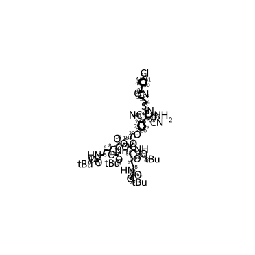 CC(C)(C)OC(=O)NCCCC[C@H](NC(=O)OC(C)(C)C)C(=O)OC[C@H](COc1ccc(-c2c(C#N)c(N)nc(SCc3coc(-c4ccc(Cl)cc4)n3)c2C#N)cc1)OC(=O)[C@H](CCCCNC(=O)OC(C)(C)C)NC(=O)OC(C)(C)C